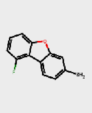 Bc1ccc2c(c1)oc1cccc(F)c12